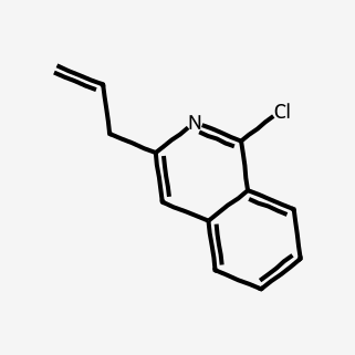 C=CCc1cc2ccccc2c(Cl)n1